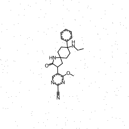 CCNC1(c2ccccc2)CCC2(CC1)CC(c1cnc(C#N)nc1OC)C(=O)N2